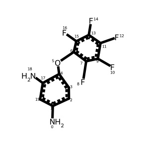 Nc1ccc(Oc2c(F)c(F)c(F)c(F)c2F)c(N)c1